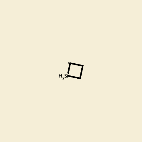 [C]1CC[SiH2]1